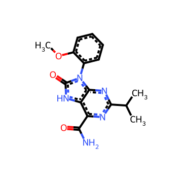 COc1ccccc1-n1c(=O)[nH]c2c(C(N)=O)nc(C(C)C)nc21